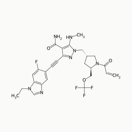 C=CC(=O)N1C[C@@H](Cn2nc(C#Cc3cc4ncn(CC)c4cc3F)c(C(N)=O)c2NC)C[C@@H]1COC(F)(F)F